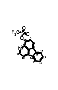 O=S(=O)(Oc1ccc2c3c(ccnc13)-c1ccccc1-2)C(F)(F)F